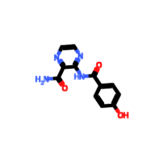 NC(=O)c1nccnc1NC(=O)c1ccc(O)cc1